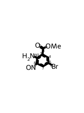 COC(=O)c1cc(Br)cc(N=O)c1N